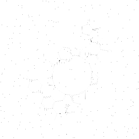 CCn1c(-c2cc(N3CCN(C)CC3)cnc2[C@H](C)OC)c2c3cc(ccc31)-c1csc(n1)C[C@H](NC(=O)C(C(C)C)N(C)C(=O)[C@H]1CCNC1=O)C(=O)N1CCC[C@H](N1)C(=O)OCC(C)(C)C2